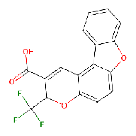 O=C(O)C1=Cc2c(ccc3oc4ccccc4c23)OC1C(F)(F)F